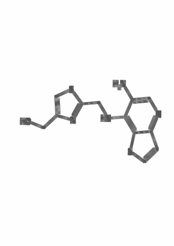 Nc1cnc2ccsc2c1NCc1nc(CO)cs1